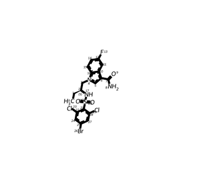 CC[C@@H](Cn1cc(C(N)=O)c2cc(F)ccc21)NS(=O)(=O)c1c(Cl)cc(Br)cc1Cl